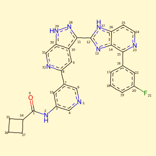 O=C(Nc1cncc(-c2cc3c(-c4nc5c(-c6cccc(F)c6)nccc5[nH]4)n[nH]c3cn2)c1)C1CCC1